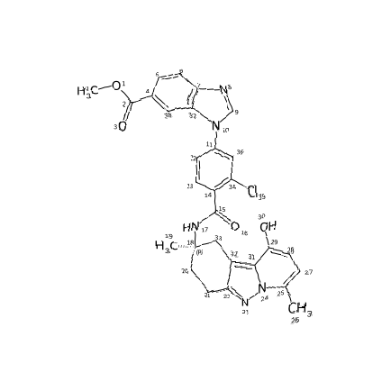 COC(=O)c1ccc2ncn(-c3ccc(C(=O)N[C@]4(C)CCc5nn6c(C)ccc(O)c6c5C4)c(Cl)c3)c2c1